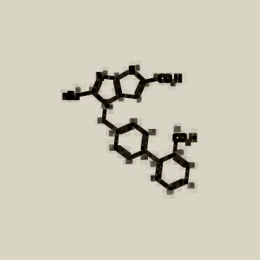 CCCCc1nc2sc(C(=O)O)cc2n1Cc1ccc(-c2ccccc2C(=O)O)cc1